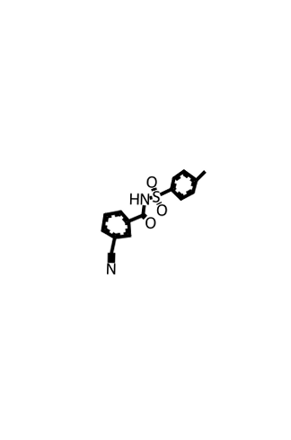 Cc1ccc(S(=O)(=O)NC(=O)c2cccc(C#N)c2)cc1